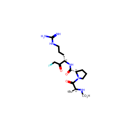 CC(C)(C)[C@H](NC(=O)O)C(=O)N1CCC[C@H]1C(=O)N[C@@H](CCCNC(=N)N)C(=O)CF